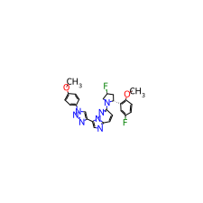 COc1ccc(-n2cc(-c3cnc4ccc(N5C[C@@H](F)C[C@@H]5c5cc(F)ccc5OC)nn34)nn2)cc1